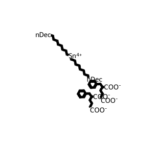 CCCCCCCCCCCCCCCCC[CH2][Sn+4][CH2]CCCCCCCCCCCCCCCCC.O=C([O-])CCCC(Cc1ccccc1)C(=O)[O-].O=C([O-])CCCC(Cc1ccccc1)C(=O)[O-]